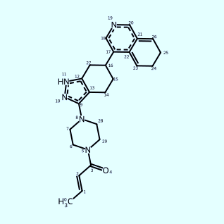 C/C=C/C(=O)N1CCN(c2n[nH]c3c2CCC(c2cncc4c2=CCCC=4)C3)CC1